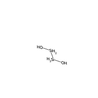 O[SiH2][SiH2]O